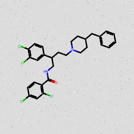 O=C(NCC(CCN1CCC(Cc2ccccc2)CC1)c1ccc(Cl)c(Cl)c1)c1ccc(Cl)cc1Cl